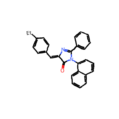 CCc1ccc(C=C2N=C(c3ccccc3)N(c3cccc4ccccc34)C2=O)cc1